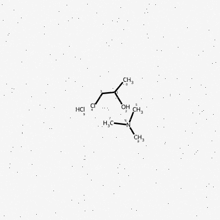 CC(O)CCl.CN(C)C.Cl